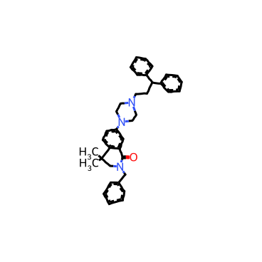 CC1(C)CN(Cc2ccccc2)C(=O)c2cc(N3CCN(CCC(c4ccccc4)c4ccccc4)CC3)ccc21